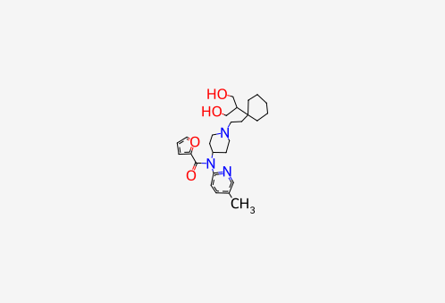 Cc1ccc(N(C(=O)c2ccco2)C2CCN(CCC3(C(CO)CO)CCCCC3)CC2)nc1